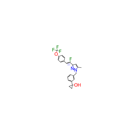 Cc1cc(/C(F)=C/c2ccc(OC(F)(F)F)cc2)nn1Cc1cccc(C2(O)CC2)c1